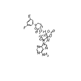 Nc1ncnc2c1ncn2[C@@H]1O[C@H](COP2(=O)OCC[C@@H](c3cc(F)cc(F)c3)O2)[C@H]2OC(=O)O[C@H]21